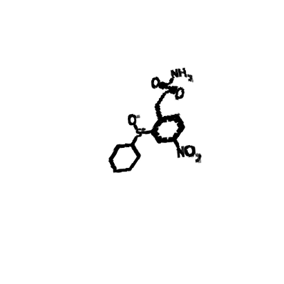 NS(=O)(=O)Cc1ccc([N+](=O)[O-])cc1[S+]([O-])C1CCCCC1